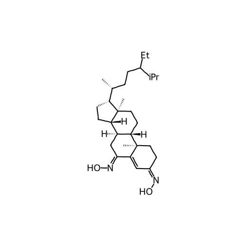 CCC(CC[C@@H](C)[C@H]1CC[C@H]2[C@@H]3CC(=NO)C4=CC(=NO)CC[C@]4(C)[C@H]3CC[C@]12C)C(C)C